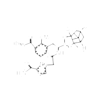 COc1c(C[C@H](NC(=O)Cn2cnc(C(N)=O)n2)B2O[C@@H]3C[C@@H]4C[C@@H](C4(C)C)[C@]3(C)O2)cccc1C(=O)OC(C)(C)C